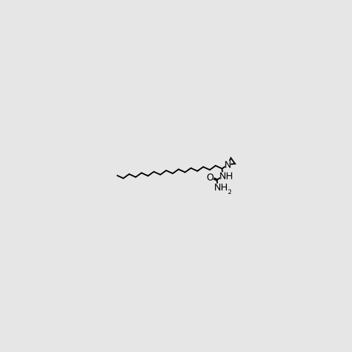 CCCCCCCCCCCCCCCCCC(NC(N)=O)N1CC1